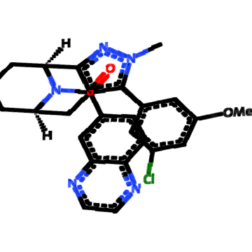 COc1cc(Cl)cc(-c2c3c(nn2C)[C@@H]2CCC[C@H](C3)N2C(=O)c2ccc3nccnc3c2)c1